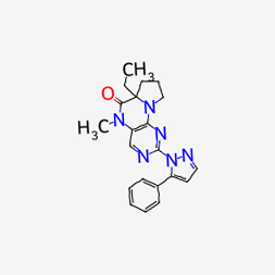 CCC12CCCN1c1nc(-n3nccc3-c3ccccc3)ncc1N(C)C2=O